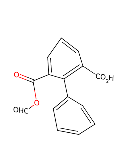 O=COC(=O)c1cccc(C(=O)O)c1-c1ccccc1